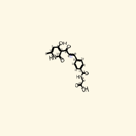 Cc1cc(O)c(C(=O)/C=C/c2ccc(C(=O)NCC(=O)O)cc2)c(=O)[nH]1